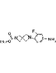 CC(C)(C)OC(=O)N1CC2(C1)CN(c1ccc(N)cc1F)C2